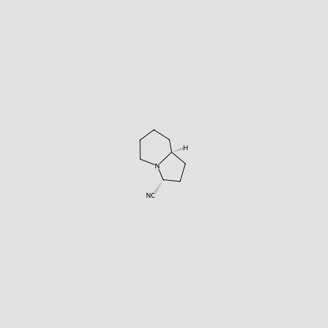 N#C[C@H]1CC[C@@H]2CCCCN21